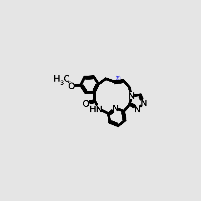 COc1ccc2c(c1)C(=O)Nc1cccc(n1)-c1nncn1C/C=C/C2